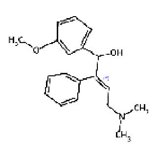 COc1cccc(C(O)/C(=C/CN(C)C)c2ccccc2)c1